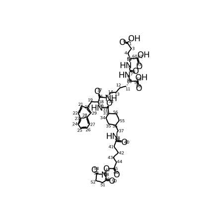 O=C(O)CC[C@H](NC(=O)N[C@@H](CCCCNC(=O)C(Cc1ccc2ccccc2c1)NC(=O)C1CCC(CNC(=O)CCCCC(=O)ON2C(=O)CCC2=O)CC1)C(=O)O)C(=O)O